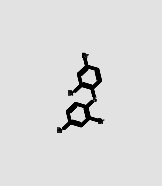 Brc1ccc(Sc2ccc(Br)cc2Br)c(Br)c1